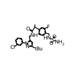 CC(C(=O)NCc1cc(C(C)(C)C)nn1-c1cccc(Cl)c1)c1ccc(CNS(N)(=O)=O)c(F)c1